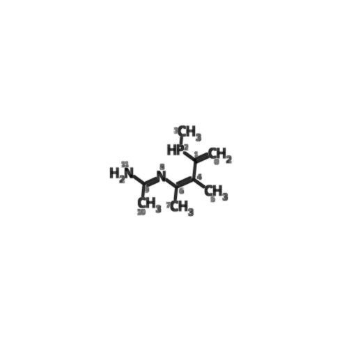 C=C(PC)/C(C)=C(C)\N=C(/C)N